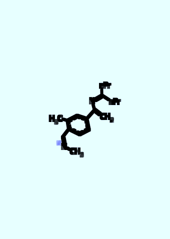 C=C(N=C(CCC)CCC)c1ccc(/C=N\C)c(C)c1